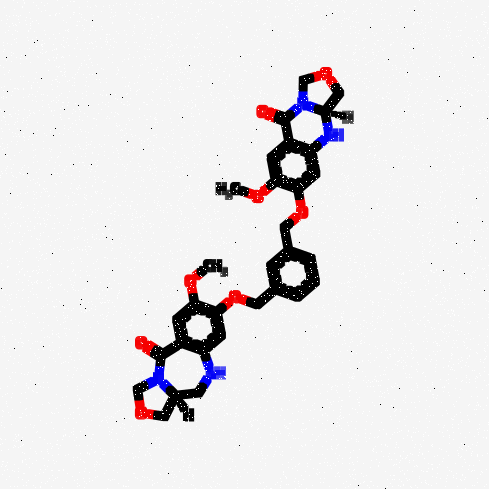 COc1cc2c(cc1OCc1cccc(COc3cc4c(cc3OC)C(=O)N3COC[C@H]3N4)c1)NC[C@@H]1COCN1C2=O